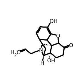 C=CCN1CC[C@]23C4OC5=C(O)C=CC(C[C@@H]1[C@]2(O)CCC4=O)C53